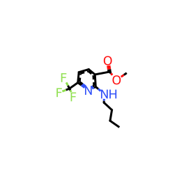 CCCCNc1nc(C(F)(F)F)ccc1C(=O)OC